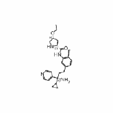 CCO[C@H]1CN[C@@H](C(=O)Nc2cc(CC[C@@](N)(c3ccncc3)C3CC3)ccc2F)C1